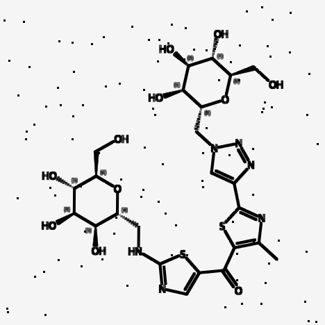 Cc1nc(-c2cn(C[C@H]3O[C@H](CO)[C@@H](O)[C@H](O)[C@@H]3O)nn2)sc1C(=O)c1cnc(NC[C@H]2O[C@H](CO)[C@@H](O)[C@H](O)[C@@H]2O)s1